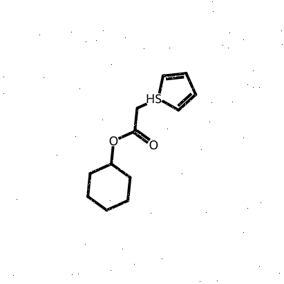 O=C(C[SH]1C=CC=C1)OC1CCCCC1